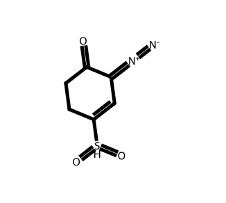 [N-]=[N+]=C1C=C([SH](=O)=O)CCC1=O